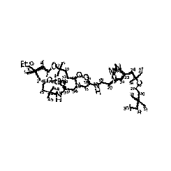 CCC(C)(C)CCOC(C)(C)CCC(=O)N(CC(=O)NCCn1cc(CC(C)(C)OCCC(C)(C)CI)nn1)CC(=O)NC(C)(C)CCOC(C)(C)C